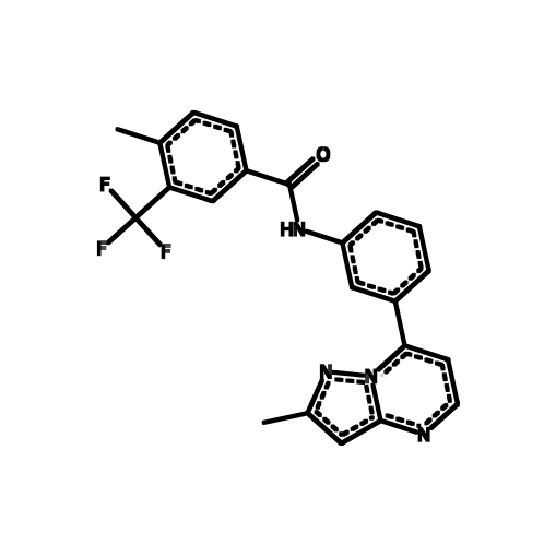 Cc1cc2nccc(-c3cccc(NC(=O)c4ccc(C)c(C(F)(F)F)c4)c3)n2n1